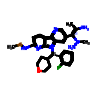 CSNc1ccc2c3ncc(/C(=C(\C)N)N(C)N)cc3n([C@H](c3ccccc3F)C3CCOCC3)c2n1